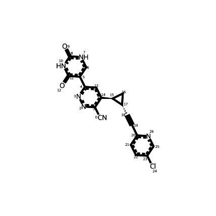 N#Cc1nnc(-c2c[nH]c(=O)[nH]c2=O)cc1[C@H]1C[C@@H]1C#Cc1ccc(Cl)cn1